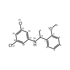 COc1ccccc1C(C)Nc1cc(Cl)cc(Cl)c1